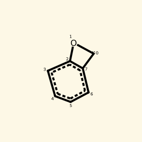 [C]1Oc2ccccc21